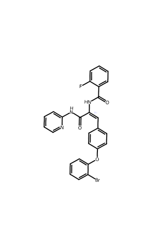 O=C(Nc1ccccn1)/C(=C\c1ccc(Oc2ccccc2Br)cc1)NC(=O)c1ccccc1F